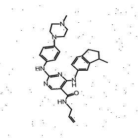 C=CCNC(=O)c1cnc(Nc2ccc(N3CCN(C)CC3)cc2)nc1Nc1ccc2c(c1)C(C)CC2